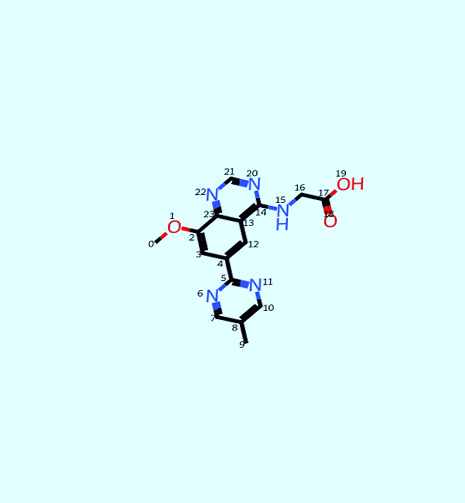 COc1cc(-c2ncc(C)cn2)cc2c(NCC(=O)O)ncnc12